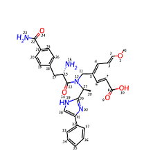 CO/C=C/C=C(\C=C\C(=O)O)CN(C(=O)[C@@H](N)Cc1ccc(C(N)=O)cc1)[C@@H](C)c1nc(-c2ccccc2)c[nH]1